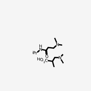 CC(C)NC(=O)CCN(C)C.CC(CN(C)C)C(=O)O